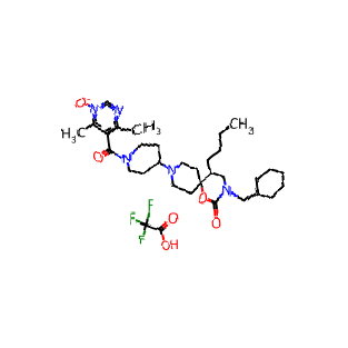 CCCCC1CN(CC2CCCCC2)C(=O)OC12CCN(C1CCN(C(=O)c3c(C)nc[n+]([O-])c3C)CC1)CC2.O=C(O)C(F)(F)F